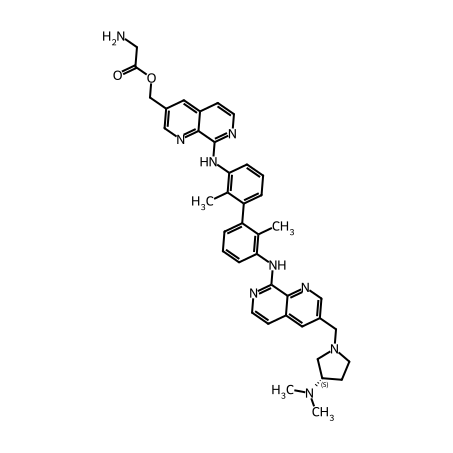 Cc1c(Nc2nccc3cc(COC(=O)CN)cnc23)cccc1-c1cccc(Nc2nccc3cc(CN4CC[C@H](N(C)C)C4)cnc23)c1C